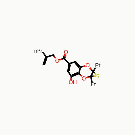 C=C(CCC)COC(=O)c1cc(O)c2c(c1)OC1(CC)SC1(CC)O2